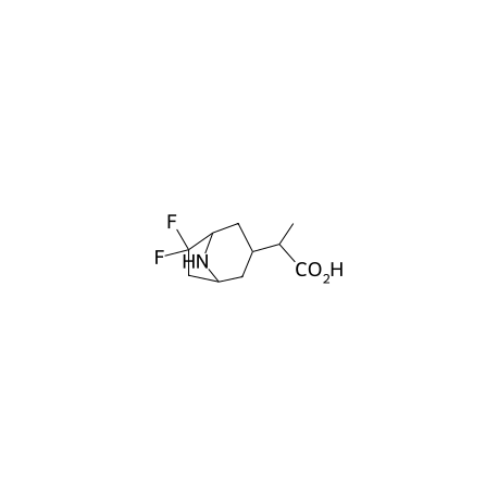 CC(C(=O)O)C1CC2CC(F)(F)C(C1)N2